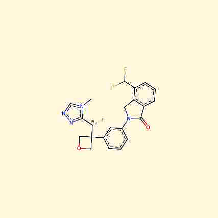 Cn1cnnc1[C@H](F)C1(c2cccc(N3Cc4c(cccc4C(F)F)C3=O)c2)COC1